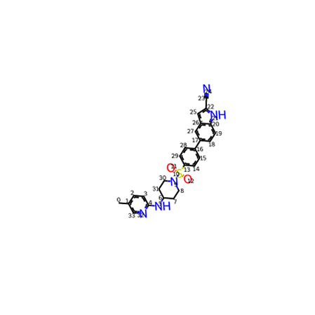 Cc1ccc(NC2CCN(S(=O)(=O)c3ccc(-c4ccc5[nH]c(C#N)cc5c4)cc3)CC2)nc1